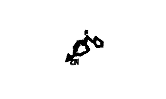 N#CC1(c2ccc(C(F)C3CCCC3)cc2)CC1